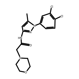 Cc1cc(NC(=O)CN2CCOCC2)nn1-c1ccc(Cl)c(Cl)c1